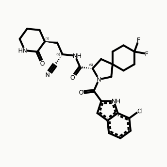 N#C[C@H](C[C@@H]1CCCNC1=O)NC(=O)[C@@H]1CC2(CCC(F)(F)CC2)CN1C(=O)c1cc2cccc(Cl)c2[nH]1